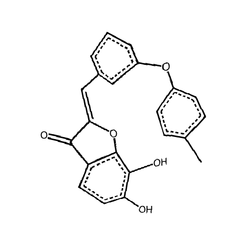 Cc1ccc(Oc2cccc(C=C3Oc4c(ccc(O)c4O)C3=O)c2)cc1